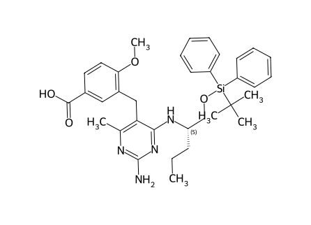 CCC[C@@H](CO[Si](c1ccccc1)(c1ccccc1)C(C)(C)C)Nc1nc(N)nc(C)c1Cc1cc(C(=O)O)ccc1OC